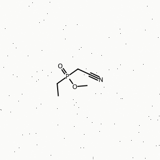 CCP(=O)(CC#N)OC